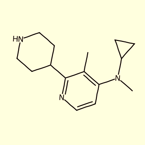 Cc1c(N(C)C2CC2)ccnc1C1CCNCC1